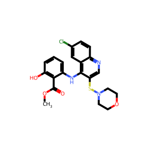 COC(=O)c1c(O)cccc1Nc1c(SN2CCOCC2)cnc2ccc(Cl)cc12